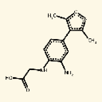 Cc1noc(C)c1-c1ccc(NCC(=O)O)c(N)c1